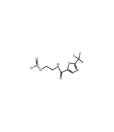 O=C(NCCO[N+](=O)[O-])c1cnc(C(F)(F)F)s1